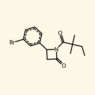 CCC(C)(C)C(=O)N1C(=O)CC1c1cccc(Br)c1